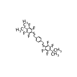 CC(C)c1c(F)c(F)c(SCc2ccc(CSc3c(F)c(F)c(C(C)C)c(F)c3F)cc2)c(F)c1F